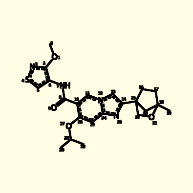 COc1nscc1NC(=O)c1cn2cc(C34CCC(C)(C3)OC4)nc2cc1OC(C)C